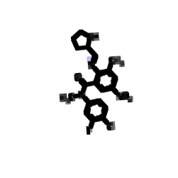 Cc1cc([N+](=O)[O-])cc(C(=O)N(C)c2ccc(Cl)c(F)c2)c1/N=C/C1CCCN1